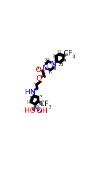 O=C(COCCCNc1ccc(N(O)O)c(C(F)(F)F)c1)N1CCN(c2ccc(C(F)(F)F)cc2)CC1